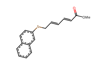 COC(=O)/C=C/C=C/CSc1ccc2ccccc2c1